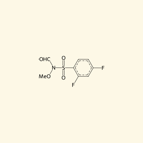 CON([C]=O)S(=O)(=O)c1ccc(F)cc1F